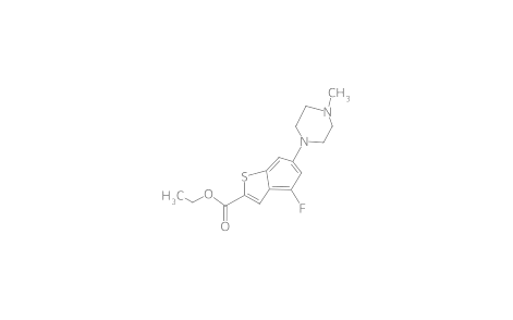 CCOC(=O)c1cc2c(F)cc(N3CCN(C)CC3)cc2s1